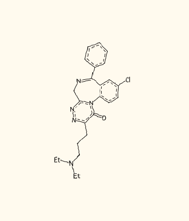 CCN(CC)CCCc1nnc2n(c1=O)-c1ccc(Cl)cc1C(c1ccccc1)=NC2